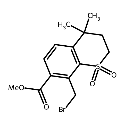 COC(=O)c1ccc2c(c1CBr)S(=O)(=O)CCC2(C)C